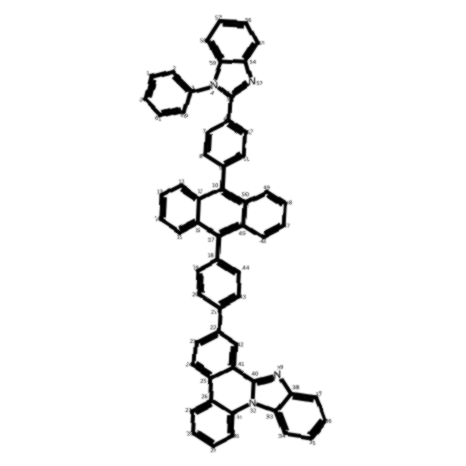 c1ccc(-n2c(-c3ccc(-c4c5ccccc5c(-c5ccc(-c6ccc7c8ccccc8n8c9ccccc9nc8c7c6)cc5)c5ccccc45)cc3)nc3ccccc32)cc1